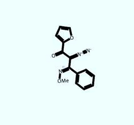 CO/N=C(/C(=[N+]=[N-])C(=O)c1ccco1)c1ccccc1